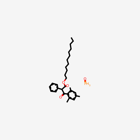 CCCCCCCCCCCCOC(=O)C(C(=O)c1c(C)cc(C)cc1C)c1ccccc1.O=[PH3]